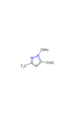 COn1nc(C(F)(F)F)cc1C=O